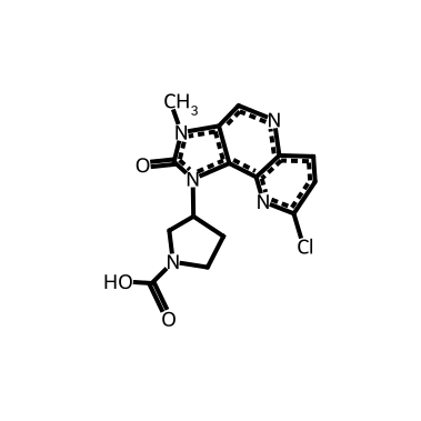 Cn1c(=O)n(C2CCN(C(=O)O)C2)c2c3nc(Cl)ccc3ncc21